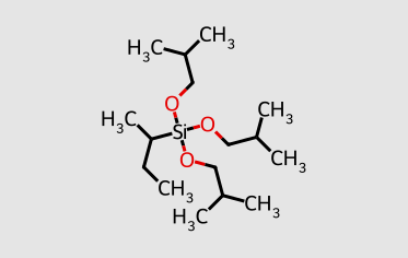 CCC(C)[Si](OCC(C)C)(OCC(C)C)OCC(C)C